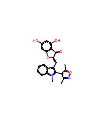 Cc1noc(C)c1-c1c(/C=C2\Oc3cc(O)cc(O)c3C2=O)c2ccccc2n1C